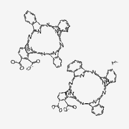 O=C([O-])c1ccc2c3nc4nc(nc5[nH]c(nc6nc(nc([nH]3)c2c1C(=O)[O-])-c1ccccc1-6)c1ccccc51)-c1ccccc1-4.O=C([O-])c1ccc2c3nc4nc(nc5[nH]c(nc6nc(nc([nH]3)c2c1C(=O)[O-])-c1ccccc1-6)c1ccccc51)-c1ccccc1-4.[Ir+4]